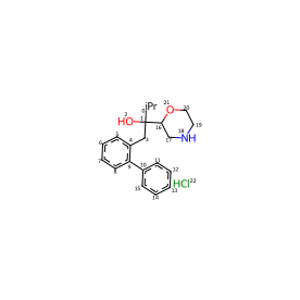 CC(C)C(O)(Cc1ccccc1-c1ccccc1)C1CNCCO1.Cl